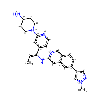 C/C=C(\Nc1cc2cc(-c3cnn(C)c3)ccc2cn1)c1ccnc(N2CCC(N)CC2)c1